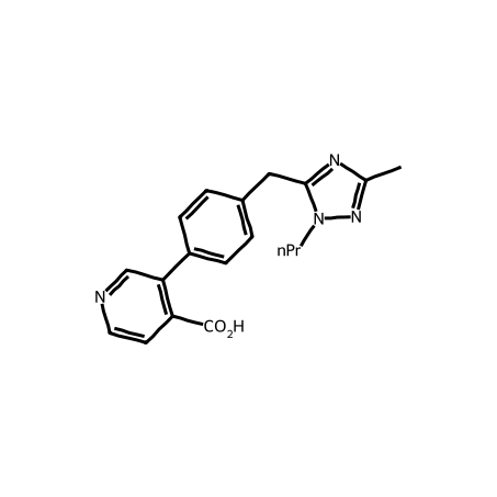 CCCn1nc(C)nc1Cc1ccc(-c2cnccc2C(=O)O)cc1